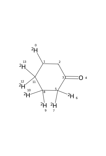 [2H]C1CC(=O)C([2H])([2H])C([2H])([2H])C1([2H])[2H]